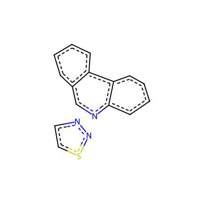 c1ccc2c(c1)cnc1ccccc12.c1csnn1